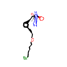 C[C@@]1(Cc2cccc(C#CCCOCCCCCCBr)c2)NC(=O)NC1=O